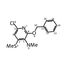 CNc1c(SC)cc(Cl)nc1OCc1ccccc1